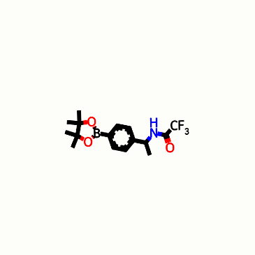 CC(NC(=O)C(F)(F)F)c1ccc(B2OC(C)(C)C(C)(C)O2)cc1